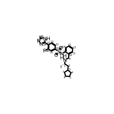 C[C@@H](CC1CCCC1)NCc1ccccc1NS(=O)(=O)c1ccc(-c2nnn[nH]2)c(F)c1